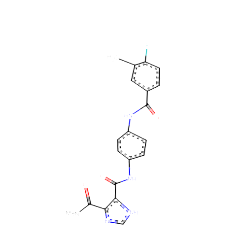 CNC(=O)c1nc[nH]c1C(=O)Nc1ccc(NC(=O)c2ccc(F)c(C)c2)cc1